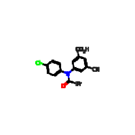 CC(C)C(=O)N(c1ccc(Cl)cc1)c1cc(C#N)cc(C(=O)O)c1